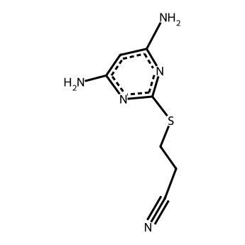 N#CCCSc1nc(N)cc(N)n1